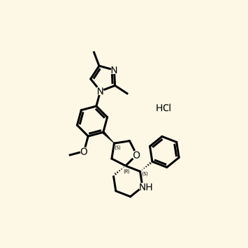 COc1ccc(-n2cc(C)nc2C)cc1[C@H]1CO[C@]2(CCCN[C@H]2c2ccccc2)C1.Cl